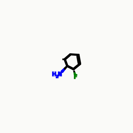 N[C@H]1[CH]CC=C[C@@H]1F